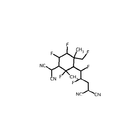 CC1(F)C(C(C#N)C#N)C(F)C(F)C(C)(CF)C1C(F)C(F)CC(C#N)C#N